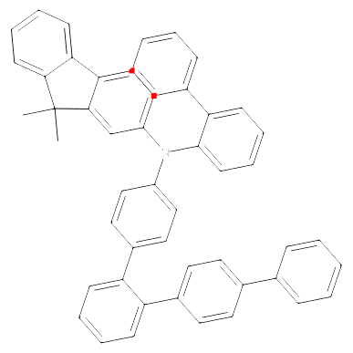 CC1(C)c2ccccc2-c2ccc(N(c3ccc(-c4ccccc4-c4ccc(-c5ccccc5)cc4)cc3)c3ccccc3-c3ccccc3)cc21